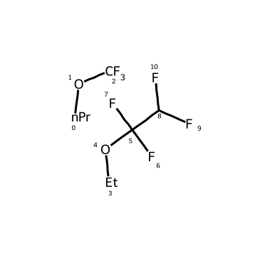 CCCOC(F)(F)F.CCOC(F)(F)C(F)F